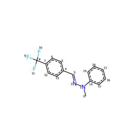 CN(/N=C/c1ccc(C(F)(F)F)cc1)c1ccccc1